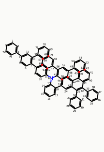 c1ccc(-c2ccc(-c3ccc(N(c4ccccc4-c4ccc5c(c4)c(-c4ccccc4)c(-c4ccccc4)c4ccccc45)c4ccc(-c5ccccc5)cc4-c4ccccc4)cc3)c(-c3ccccc3)c2)cc1